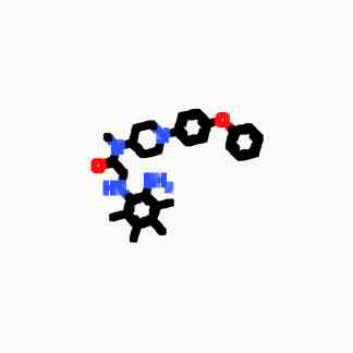 Cc1c(C)c(C)c(NCC(=O)N(C)C2CCN(c3ccc(Oc4ccccc4)cc3)CC2)c(N)c1C